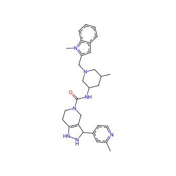 Cc1cc(C2NNC3=C2CN(C(=O)NC2CC(C)CN(Cc4cc5ccccc5n4C)C2)CC3)ccn1